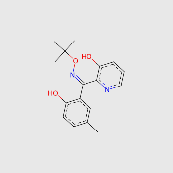 Cc1ccc(O)c(C(=NOC(C)(C)C)c2ncccc2O)c1